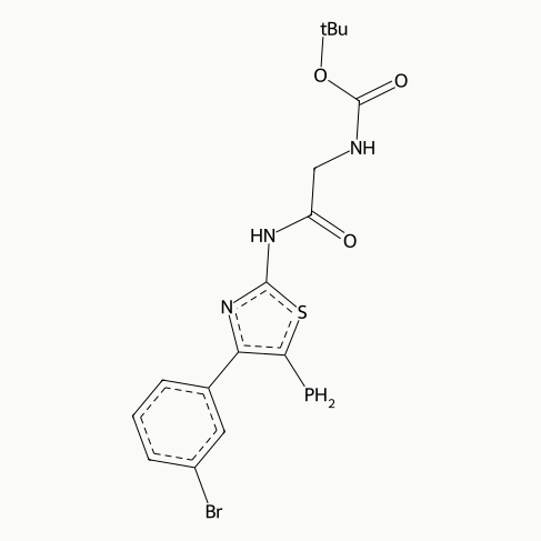 CC(C)(C)OC(=O)NCC(=O)Nc1nc(-c2cccc(Br)c2)c(P)s1